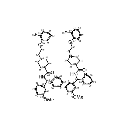 COc1cccc(C(NC(=O)C2CCN(CCOc3ccccc3F)CC2)c2ccccn2)c1.COc1cccc(C(NC(=O)C2CCN(CCOc3ccccc3F)CC2)c2ccccn2)c1